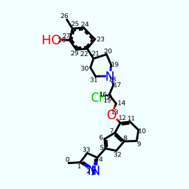 CC1=NN=C(C2=CC3=C(CCC=C3OC[C@@H](Cl)CN3CCC(c4ccc(C)c(O)c4)CC3)C2)C1